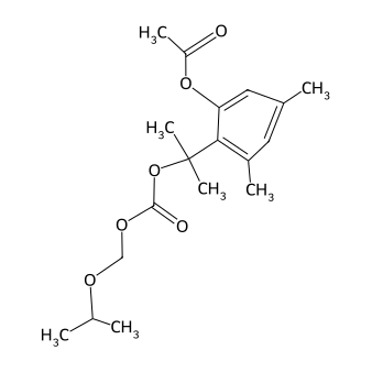 CC(=O)Oc1cc(C)cc(C)c1C(C)(C)OC(=O)OCOC(C)C